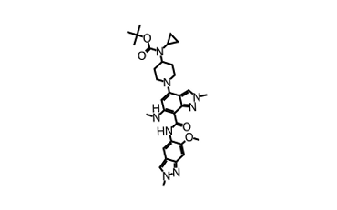 CNc1cc(N2CCC(N(C(=O)OC(C)(C)C)C3CC3)CC2)c2cn(C)nc2c1C(=O)Nc1cc2cn(C)nc2cc1OC